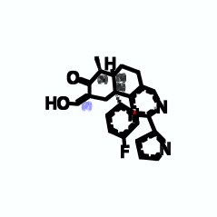 C[C@@H]1C(=O)/C(=C\O)C[C@]2(c3ccc(F)cc3)c3nc(-c4cccnc4)ncc3CC[C@@H]12